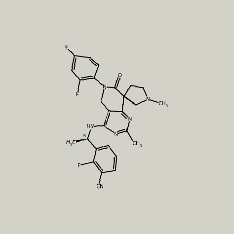 Cc1nc(N[C@H](C)c2cccc(C#N)c2F)c2c(n1)C1(CCN(C)C1)C(=O)N(c1ccc(F)cc1F)C2